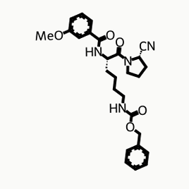 COc1cccc(C(=O)N[C@@H](CCCCNC(=O)OCc2ccccc2)C(=O)N2CCC[C@H]2C#N)c1